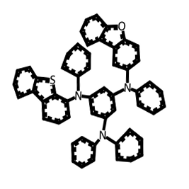 c1ccc(N(c2ccccc2)c2cc(N(c3ccccc3)c3ccc4oc5ccccc5c4c3)cc(N(c3ccccc3)c3cccc4c3sc3ccccc34)c2)cc1